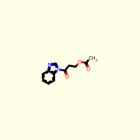 CC(=O)OCCC(=O)n1cnc2ccccc21